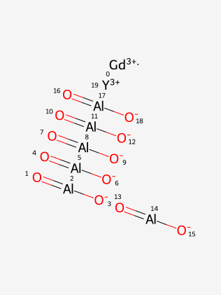 [Gd+3].[O]=[Al][O-].[O]=[Al][O-].[O]=[Al][O-].[O]=[Al][O-].[O]=[Al][O-].[O]=[Al][O-].[Y+3]